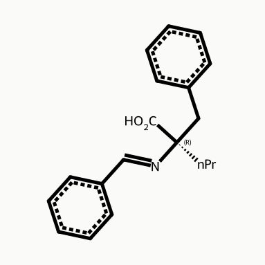 CCC[C@](Cc1ccccc1)(N=Cc1ccccc1)C(=O)O